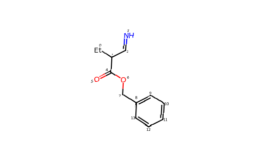 CCC(C=N)C(=O)OCc1ccccc1